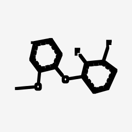 COc1c[c]ccc1Oc1cccc(F)c1F